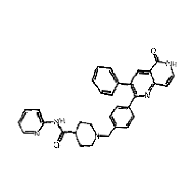 O=C(Nc1ccccn1)C1CCN(Cc2ccc(-c3nc4cc[nH]c(=O)c4cc3-c3ccccc3)cc2)CC1